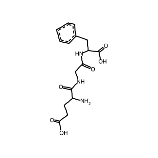 NC(CCC(=O)O)C(=O)NCC(=O)NC(Cc1ccccc1)C(=O)O